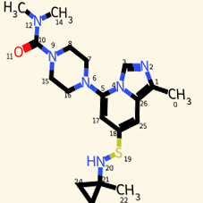 Cc1ncn2c(N3CCN(C(=O)N(C)C)CC3)cc(SNC3(C)CC3)cc12